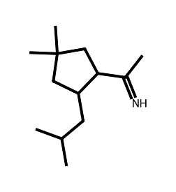 CC(=N)C1CC(C)(C)CC1CC(C)C